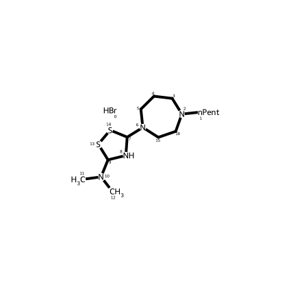 Br.CCCCCN1CCCN(C2NC(N(C)C)SS2)CC1